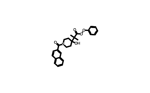 CC(C)(C(=O)OOc1ccccc1)C1(O)CCN(C(=O)c2ccc3ccccc3c2)CC1